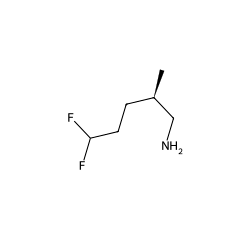 C[C@@H](CN)CCC(F)F